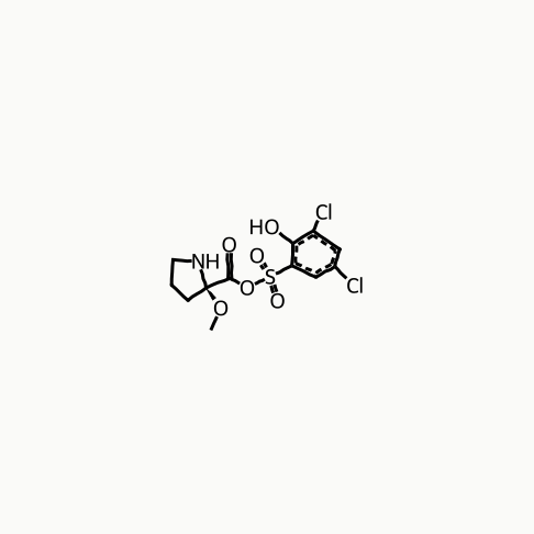 CO[C@@]1(C(=O)OS(=O)(=O)c2cc(Cl)cc(Cl)c2O)CCCN1